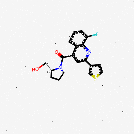 O=C(c1cc(-c2ccsc2)nc2c(F)cccc12)N1CCC[C@@H]1CO